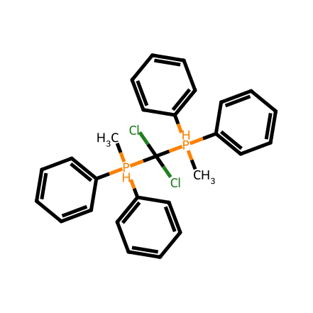 C[PH](c1ccccc1)(c1ccccc1)C(Cl)(Cl)[PH](C)(c1ccccc1)c1ccccc1